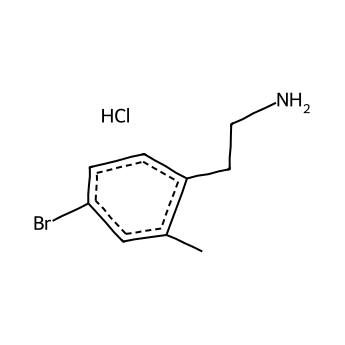 Cc1cc(Br)ccc1CCN.Cl